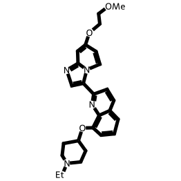 CCN1CCC(Oc2cccc3ccc(-c4cnc5cc(OCCOC)ccn45)nc23)CC1